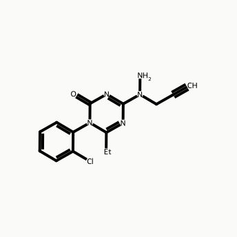 C#CCN(N)c1nc(CC)n(-c2ccccc2Cl)c(=O)n1